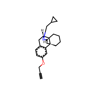 C#CCOc1ccc2c(c1)[C@@]13CCCC[C@H]1[C@@H](C2)N(CC1CC1)CC3